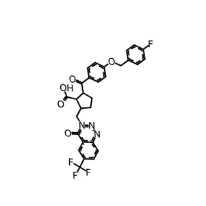 O=C(c1ccc(OCc2ccc(F)cc2)cc1)C1CCC(Cn2nnc3ccc(C(F)(F)F)cc3c2=O)C1C(=O)O